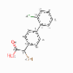 O=C(O)C(S)c1ccc(-c2ccccc2F)cc1